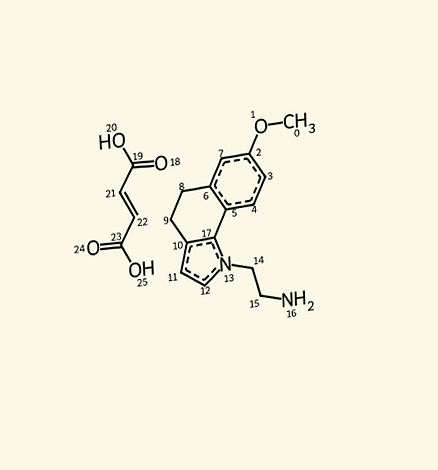 COc1ccc2c(c1)CCc1ccn(CCN)c1-2.O=C(O)C=CC(=O)O